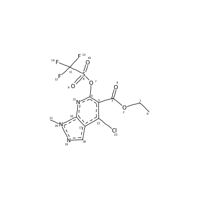 CCOC(=O)c1c(OS(=O)(=O)C(F)(F)F)nc2c(cnn2C)c1Cl